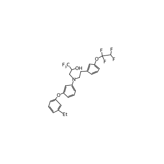 CCc1cccc(Oc2cccc(N(CCc3cccc(OC(F)(F)C(F)F)c3)CC(O)C(F)(F)F)c2)c1